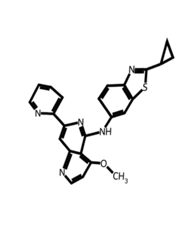 COc1ccnc2cc(-c3ccccn3)nc(Nc3ccc4nc(C5CC5)sc4c3)c12